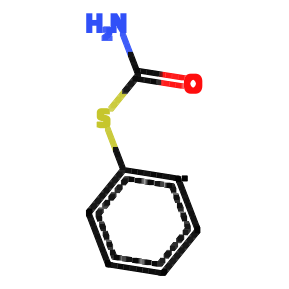 NC(=O)Sc1[c]cccc1